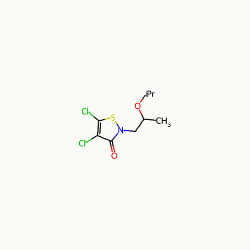 CC(C)OC(C)Cn1sc(Cl)c(Cl)c1=O